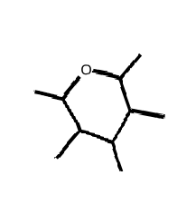 CC1OC(C)C(C)C(C)C1C